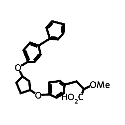 COC(Cc1ccc(OC2CCC(Oc3ccc(-c4ccccc4)cc3)C2)cc1)C(=O)O